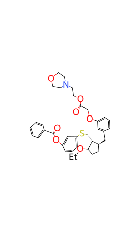 CCOC1CC[C@H](Cc2cccc(OCC(=O)OCCN3CCOCC3)c2)[C@H]1CSc1cccc(OC(=O)c2ccccc2)c1